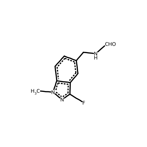 Cn1nc(F)c2cc(CNC=O)ccc21